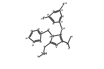 CNCc1nc(C(C)C)c(Sc2cc(F)cc(F)c2)n1Cc1cccnc1